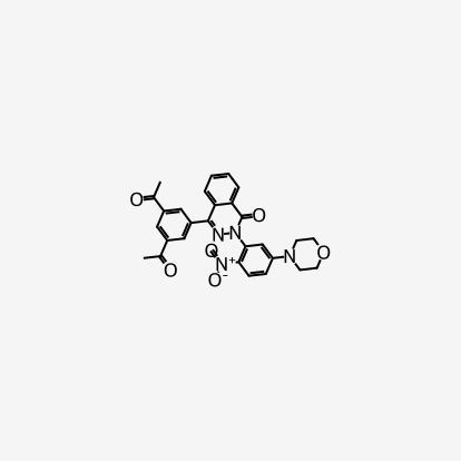 CC(=O)c1cc(C(C)=O)cc(-c2nn(-c3cc(N4CCOCC4)ccc3[N+](=O)[O-])c(=O)c3ccccc23)c1